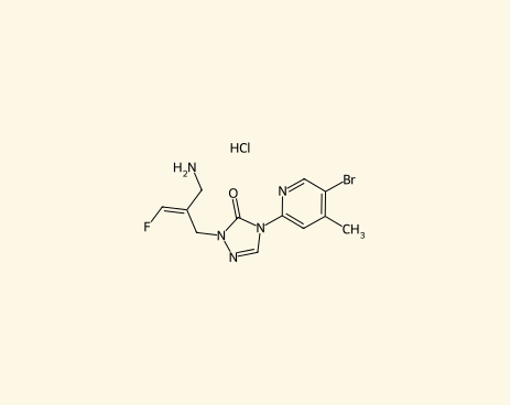 Cc1cc(-n2cnn(C/C(=C\F)CN)c2=O)ncc1Br.Cl